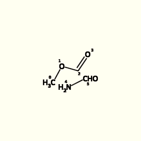 COC=O.NC=O